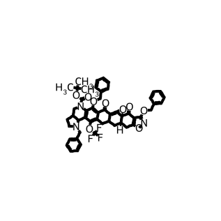 CC(C)(C)OC(=O)N1CC2CCN(Cc3ccccc3)C2c2c(OC(F)(F)F)c3c(c(OCc4ccccc4)c21)C(=O)C1=C2O[C@]24C(=O)c2c(OCc5ccccc5)noc2C[C@@H]4CC1C3